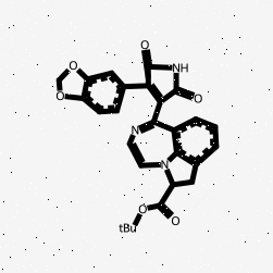 CC(C)(C)OC(=O)C1Cc2cccc3c2N1C=CN=C3C1=C(c2ccc3c(c2)OCO3)C(=O)NC1=O